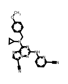 COc1ccc(CN(c2nc(Nc3cccc(C#N)n3)nn3c(C#N)cnc23)C2CC2)cc1